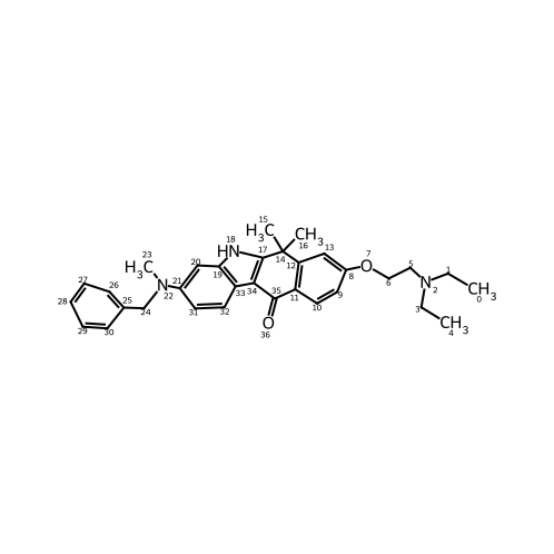 CCN(CC)CCOc1ccc2c(c1)C(C)(C)c1[nH]c3cc(N(C)Cc4ccccc4)ccc3c1C2=O